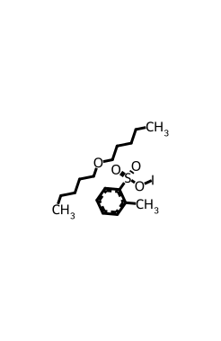 CCCCCOCCCCC.Cc1ccccc1S(=O)(=O)OI